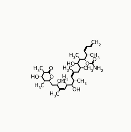 C=C/C=C\[C@H](C)[C@H](OC(N)=O)[C@@H](C)[C@H](O)[C@@H](C)C/C(C)=C\[C@H](C)[C@@H](O)[C@@H](C)/C=C(/C)[C@@H](O)C[C@@H]1OC(=O)[C@H](C)[C@@H](O)[C@H]1C